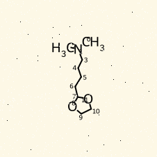 CN(C)CCCCC1OCCO1